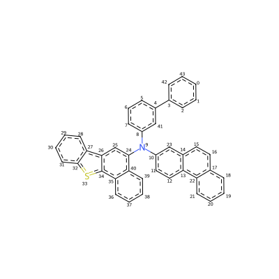 c1ccc(-c2cccc(N(c3ccc4c(ccc5ccccc54)c3)c3cc4c5ccccc5sc4c4ccccc34)c2)cc1